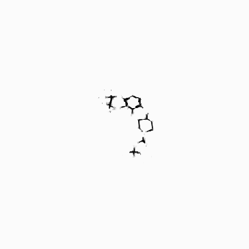 [2H]C1([2H])Oc2ccc(OC3CCN(C(=O)OC(C)(C)C)CC3)c(F)c2OC1([2H])[2H]